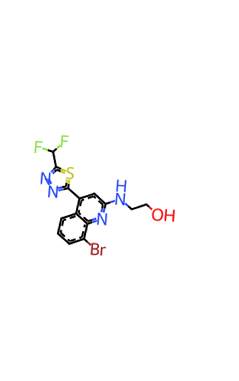 OCCNc1cc(-c2nnc(C(F)F)s2)c2cccc(Br)c2n1